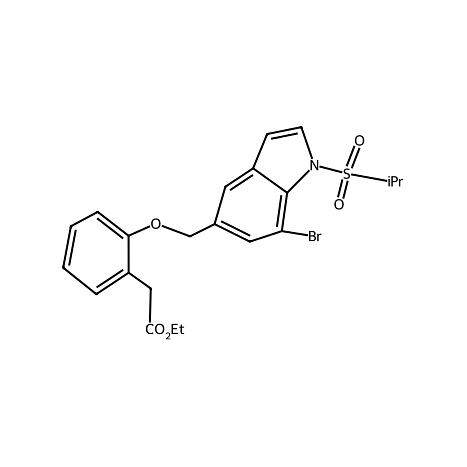 CCOC(=O)Cc1ccccc1OCc1cc(Br)c2c(ccn2S(=O)(=O)C(C)C)c1